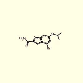 CC(C)Oc1cc(Br)c2cc(C(N)=O)sc2c1